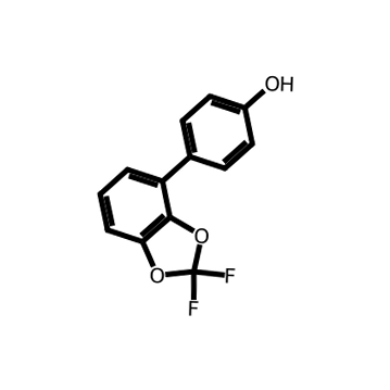 Oc1ccc(-c2cccc3c2OC(F)(F)O3)cc1